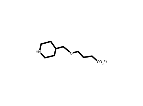 CCOC(=O)CCCOCC1CCNCC1